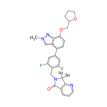 [2H]C1([2H])c2ncccc2C(=O)N1Cc1c(F)cc(-c2ccc(OCC3CCCO3)c3nn(C)cc23)cc1F